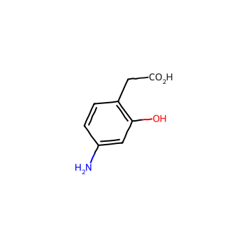 Nc1ccc(CC(=O)O)c(O)c1